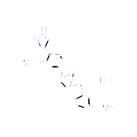 COc1cccc(C(C(=O)O)n2ccn(-c3ccc(-c4cn[nH]c4)c(OC)c3)c2=O)c1